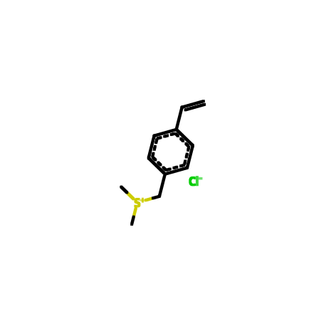 C=Cc1ccc(C[S+](C)C)cc1.[Cl-]